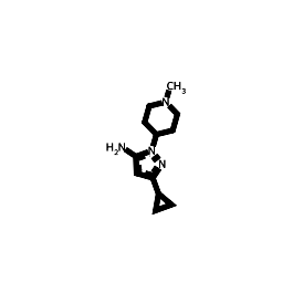 CN1CCC(n2nc(C3CC3)cc2N)CC1